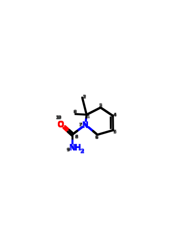 CC1(C)CC=CCN1C(N)=O